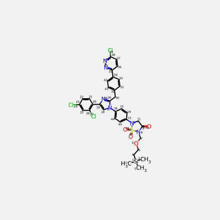 C[Si](C)(C)CCOCN1C(=O)CN(c2ccc(-n3cc(-c4ccc(Cl)cc4Cl)nc3Cc3ccc(-c4ccc(Cl)nn4)cc3)cc2)S1(=O)=O